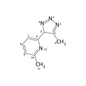 CC1=NN=NC1c1cccc(C)n1